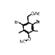 CC(=O)OCc1c(Br)c(C)c(OC#N)c(C)c1Br